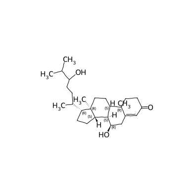 CC(C)C(O)CCC(C)[C@H]1CC[C@H]2[C@@H]3[C@H](O)CC4=CC(=O)CC[C@]4(C)[C@H]3CC[C@]12C